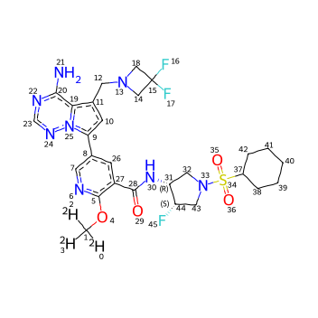 [2H]C([2H])([2H])Oc1ncc(-c2cc(CN3CC(F)(F)C3)c3c(N)ncnn23)cc1C(=O)N[C@@H]1CN(S(=O)(=O)C2CCCCC2)C[C@@H]1F